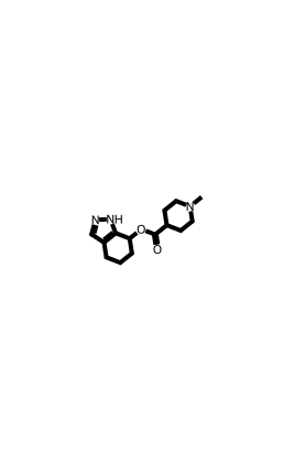 CN1CCC(C(=O)OC2CCCc3cn[nH]c32)CC1